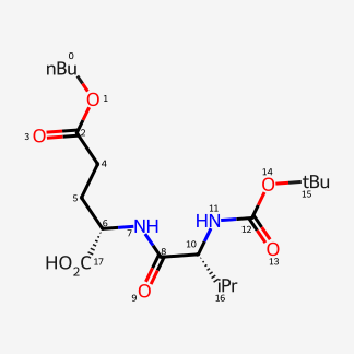 CCCCOC(=O)CC[C@H](NC(=O)[C@H](NC(=O)OC(C)(C)C)C(C)C)C(=O)O